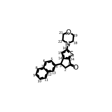 O=C1CC(c2ccc3ccccc3c2)c2cc(N3CCOCC3)sc21